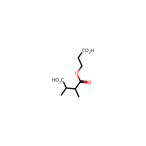 CC(C(=O)O)C(C)C(=O)OCCC(=O)O